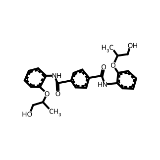 CC(CO)Oc1ccccc1NC(=O)c1ccc(C(=O)Nc2ccccc2OC(C)CO)cc1